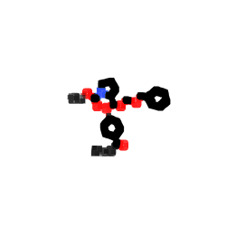 COC(=O)[C@H]1CC[C@H](OC(OCOCc2ccccc2)[C@@H]2CCCN2C(=O)OC(C)(C)C)CC1